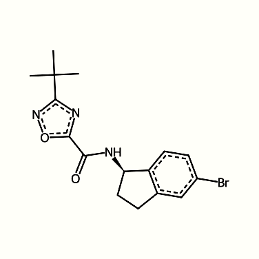 CC(C)(C)c1noc(C(=O)N[C@@H]2CCc3cc(Br)ccc32)n1